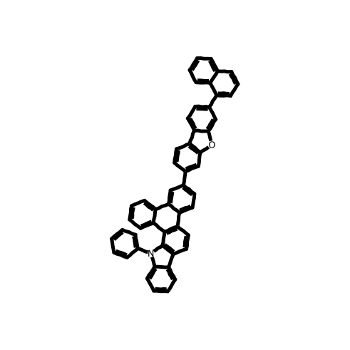 c1ccc(-n2c3ccccc3c3ccc4c5ccc(-c6ccc7c(c6)oc6cc(-c8cccc9ccccc89)ccc67)cc5c5ccccc5c4c32)cc1